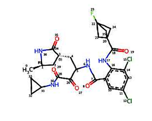 C[C@@H]1C[C@@H](CC(NC(=O)c2cc(Cl)cc(Cl)c2NC(=O)C23CC(F)(C2)C3)C(=O)C(=O)NC2CC2)C(=O)N1